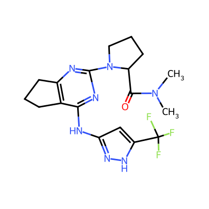 CN(C)C(=O)C1CCCN1c1nc2c(c(Nc3cc(C(F)(F)F)[nH]n3)n1)CCC2